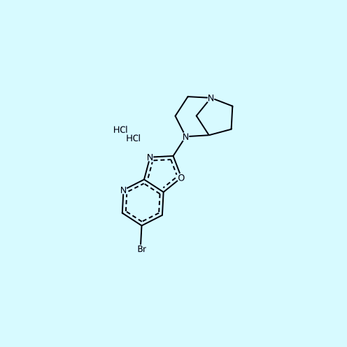 Brc1cnc2nc(N3CCN4CCC3C4)oc2c1.Cl.Cl